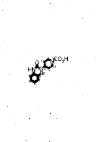 O=C(Nc1ccccc1Br)OC1CCN(C(=O)O)CC1